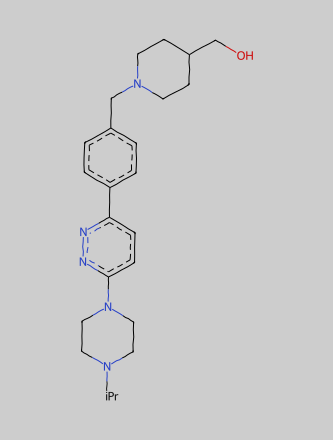 CC(C)N1CCN(c2ccc(-c3ccc(CN4CCC(CO)CC4)cc3)nn2)CC1